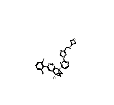 CC1(C)[C@H]2CC[C@]1(c1ccnc(-n3cnc(CSC4COC4)n3)n1)c1nnc(-c3c(F)cccc3F)cc12